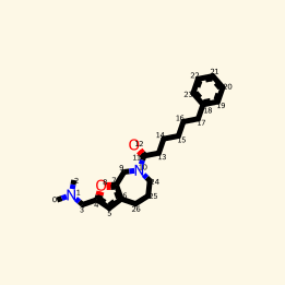 CN(C)Cc1cc2c(o1)CN(C(=O)CCCCCc1ccccc1)CCC2